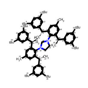 Cc1cc([C@H](C)c2cc(C(C)(C)C)cc(C(C)(C)C)c2)c(N2CCN(c3c([C@H](C)c4cc(C(C)(C)C)cc(C(C)(C)C)c4)cc(C)cc3[C@H](C)c3cc(C(C)(C)C)cc(C(C)(C)C)c3)C2)c([C@H](C)c2cc(C(C)(C)C)cc(C(C)(C)C)c2)c1